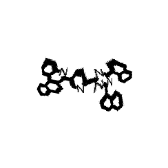 c1ccc2c(-c3nc(-c4ccc(-c5nc6ccccc6c6c5ccc5ccccc56)cn4)nc(-c4cccc5ccccc45)n3)cccc2c1